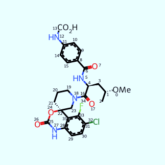 CO[C@H](C)C[C@H](NC(=O)c1ccc(NC(=O)O)cc1)C(=O)N1CCC[C@@]2(C1)OC(=O)Nc1ccc(Cl)c(F)c12